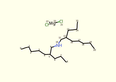 CCCCCC(CCC)CNCC(CCC)CCCCC.[Cl][Mg][Cl]